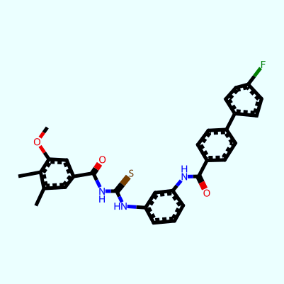 COc1cc(C(=O)NC(=S)Nc2cccc(NC(=O)c3ccc(-c4ccc(F)cc4)cc3)c2)cc(C)c1C